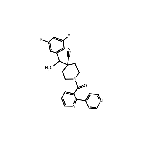 CC(c1cc(F)cc(F)c1)C1(C#N)CCN(C(=O)c2cccnc2-c2ccncc2)CC1